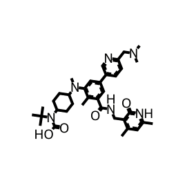 Cc1cc(C)c(CNC(=O)c2cc(-c3ccc(CN(C)C)nc3)cc(N(C)C3CCC(N(C(=O)O)C(C)(C)C)CC3)c2C)c(=O)[nH]1